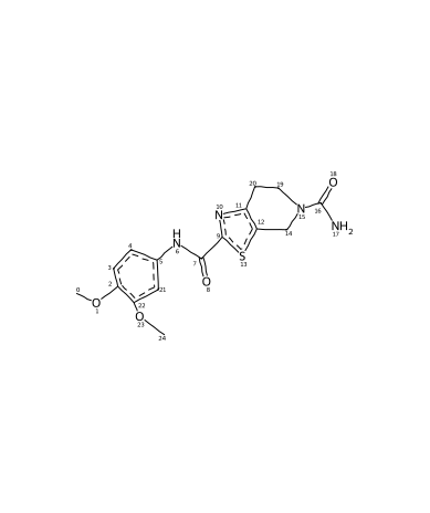 COc1ccc(NC(=O)c2nc3c(s2)CN(C(N)=O)CC3)cc1OC